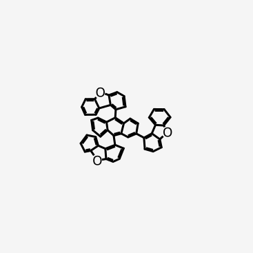 c1ccc2c(c1)oc1cccc(-c3ccc4c(-c5cccc6oc7ccccc7c56)c5ccccc5c(-c5cccc6oc7ccccc7c56)c4c3)c12